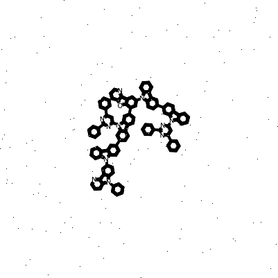 c1ccc(-c2cc(-n3c4ccccc4c4ccc(-c5ccc6c(c5)c5ccccc5n6-c5cc(-c6ccc7c8ccc(-c9ccc%10c(c9)c9ccccc9n%10-c9ccc%10c(c9)c9ncccc9n%10-c9ccccc9)cc8n(-c8cc(-c9ccccc9)nc(-c9ccccc9)n8)c7c6)c6oc7cccnc7c6c5)cc43)nc(-c3ccccc3)n2)cc1